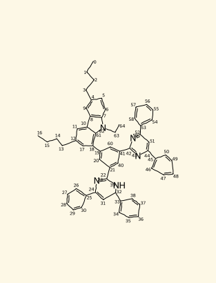 CCCCc1ccc2c(c1)c1cc(CCCC)cc(-c3cc(C4=NC(c5ccccc5)=CC(c5ccccc5)N4)cc(-c4nc(-c5ccccc5)cc(-c5ccccc5)n4)c3)c1n2CC